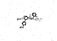 COc1ncc(C(=O)N[C@@H](CC(=O)O)c2ccccc2Cl)cc1-c1ccc(C(C)(C)C)cc1